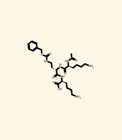 CC(=O)N[C@@H](CCCCN)C(=O)N[C@@H](CCNC(=O)OCc1ccccc1)C(=O)N[C@@H](CCCCN)C(=O)O